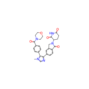 Cn1cnc(-c2ccc3c(c2)CN(C2CCC(=O)NC2=O)C3=O)c1-c1ccc(C(=O)N2CCOCC2)cc1